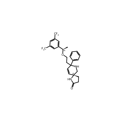 C[C@@H](OCCC1(c2ccccc2)C=C[C@]2(CCC(=O)N2)CN1)c1cc(C(F)(F)F)cc(C(F)(F)F)c1